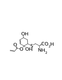 C=CC(=O)OC1(O)C=CC(O)CC1SC[C@H](N)C(=O)O